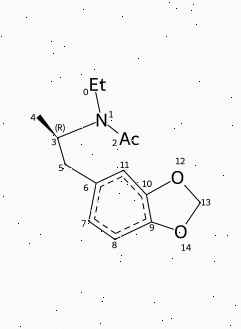 CCN(C(C)=O)[C@H](C)Cc1ccc2c(c1)OCO2